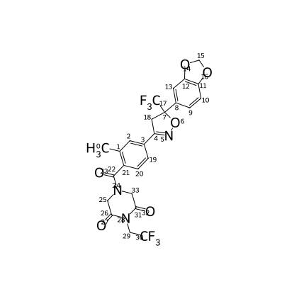 Cc1cc(C2=NOC(c3ccc4c(c3)OCO4)(C(F)(F)F)C2)ccc1C(=O)N1CC(=O)N(CC(F)(F)F)C(=O)C1